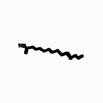 C=CC/N=C/CCCCCCCCC(=O)O